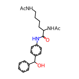 CC(=O)NCCCCC(NC(C)=O)C(=O)Nc1ccc(C(O)c2ccccc2)cc1